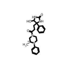 C[C@@H]1CN(C(=O)CCC2(c3ccccc3)NC(=O)NC2O)CCN1c1ccccc1